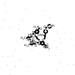 CCn1nc(C)cc1C(=O)Nc1nc2cc(C(N)=O)cc(OC)c2n1CC=CCn1c(NC(=O)c2cc(C)nn2CC)nc2cc(C(N)=O)cc(OCC#CC3CCN(C(=O)N4CCNCC4)CC3)c21.Cl